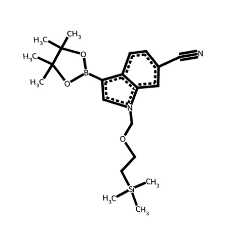 CC1(C)OB(c2cn(COCC[Si](C)(C)C)c3cc(C#N)ccc23)OC1(C)C